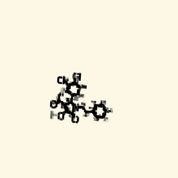 CC(=O)C1=C(O)C(=O)N(CCc2ccccc2)C1c1ccc(Cl)c(Cl)c1